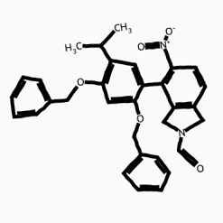 CC(C)c1cc(-c2c([N+](=O)[O-])ccc3c2CN(C=O)C3)c(OCc2ccccc2)cc1OCc1ccccc1